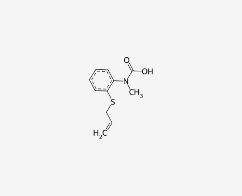 C=CCSc1ccccc1N(C)C(=O)O